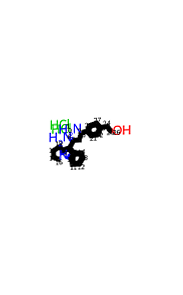 Cl.Cl.NC(CC(N)c1c2n(c3ccccc13)CCCC2)c1ccc(CCO)cc1